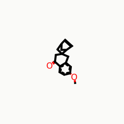 COc1ccc2c(c1)CC1(CC2=O)CC2C=CC1C2